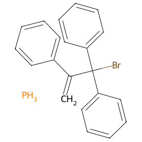 C=C(c1ccccc1)C(Br)(c1ccccc1)c1ccccc1.P